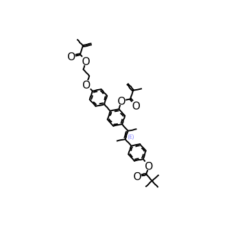 C=C(C)C(=O)OCCOc1ccc(-c2ccc(/C(C)=C(\C)c3ccc(OC(=O)C(C)(C)C)cc3)cc2OC(=O)C(=C)C)cc1